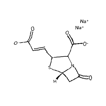 O=C([O-])C=CC1S[C@H]2CC(=O)N2C1C(=O)[O-].[Na+].[Na+]